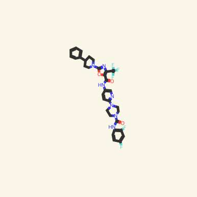 O=C(Nc1ccc(N2CCN(C(=O)Nc3ccc(F)cc3F)CC2)nc1)c1oc(N2CCC(c3ccccc3)CC2)nc1C(F)(F)F